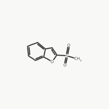 CS(=O)(=O)c1cc2ccccc2o1